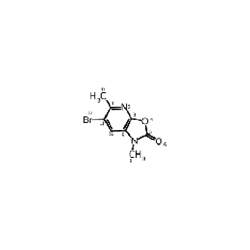 Cc1nc2oc(=O)n(C)c2cc1Br